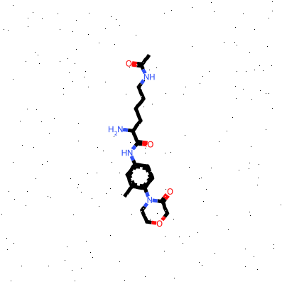 CC(=O)NCCCCC(N)C(=O)Nc1ccc(N2CCOCC2=O)c(C)c1